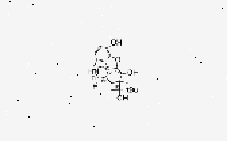 CC(C)(C)[C@@](C)(O)C1(C)C[C@]23CCC1(O)C1Oc4c(O)ccc5c4[C@@]12CCN[C@@H]3C5